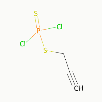 C#CCSP(=S)(Cl)Cl